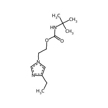 CCc1cn(CCOC(=O)NC(C)(C)C)cn1